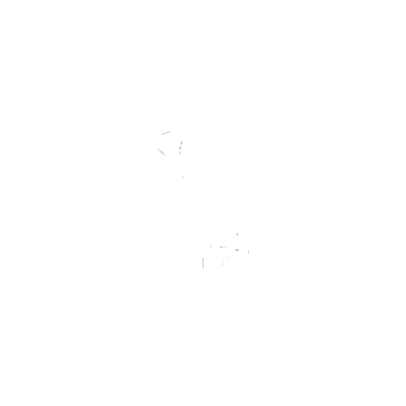 CS(=O)(=O)O[C@H]1C[C@H](CCOCc2ccccc2)C1